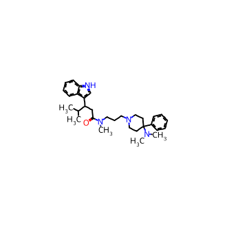 CC(C)C(CC(=O)N(C)CCCN1CCC(c2ccccc2)(N(C)C)CC1)c1c[nH]c2ccccc12